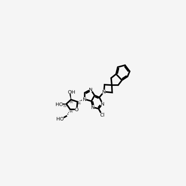 OC[C@H]1O[C@@H](n2cnc3c(N4CC5(Cc6ccccc6C5)C4)nc(Cl)nc32)[C@H](O)[C@@H]1O